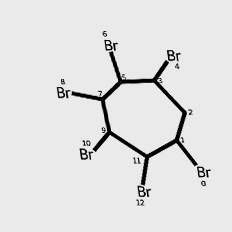 BrC1CC(Br)C(Br)C(Br)C(Br)C1Br